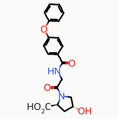 O=C(NCC(=O)N1C[C@H](O)C[C@H]1C(=O)O)c1ccc(Oc2ccccc2)cc1